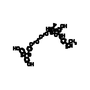 Cc1ncsc1-c1ccc(CNC(=O)[C@@H]2C[C@@H](O)CN2C(=O)[C@@H](NC(=O)COCCOCCOCCOc2ccc(C(=O)c3c(-c4ccc(O)cc4)sc4cc(O)ccc34)cc2)C2CC2)cc1